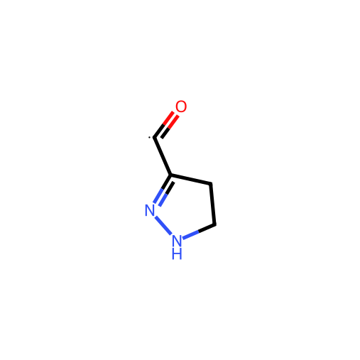 O=[C]C1=NNCC1